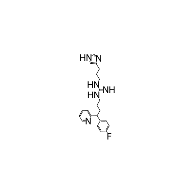 N=C(NCCCc1c[nH]cn1)NCCCC(c1ccc(F)cc1)c1ccccn1